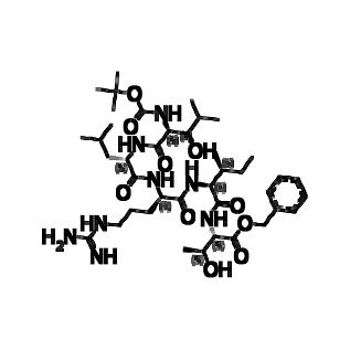 CC[C@H](C)[C@H](NC(=O)[C@@H](CCCNC(=N)N)NC(=O)[C@H](CC(C)C)NC(=O)[C@@H](NC(=O)OC(C)(C)C)[C@H](O)C(C)C)C(=O)N[C@H](C(=O)OCc1ccccc1)[C@H](C)O